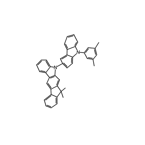 Cc1cc(C)cc(-n2c3ccccc3c3cc(-n4c5ccccc5c5cc6c(cc54)C(C)(C)c4ccccc4-6)ccc32)c1